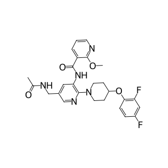 COc1ncccc1C(=O)Nc1cc(CNC(C)=O)cnc1N1CCC(Oc2ccc(F)cc2F)CC1